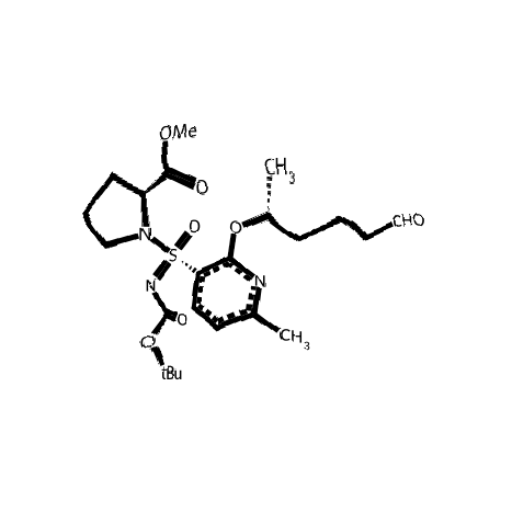 COC(=O)[C@@H]1CCCN1[S@@](=O)(=NC(=O)OC(C)(C)C)c1ccc(C)nc1O[C@H](C)CCCC=O